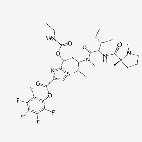 CCNC(=O)OC(CC(C(C)C)N(C)C(=O)C(NC(=O)[C@@]1(C)CCCN1C)C(C)CC)c1nc(C(=O)Oc2c(F)c(F)c(F)c(F)c2F)cs1